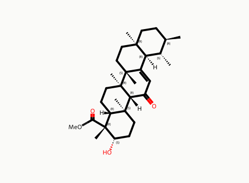 COC(=O)[C@]1(C)[C@@H]2CC[C@]3(C)[C@H](C(=O)C=C4[C@@H]5[C@@H](C)[C@H](C)CC[C@]5(C)CC[C@]43C)[C@@]2(C)CC[C@@H]1O